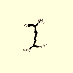 CCCCCCCCC(CCCCCCCC)CCC(N)=O